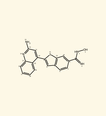 N=C(NO)c1ccc2cc(-c3cc(N)nc4ccccc34)sc2c1